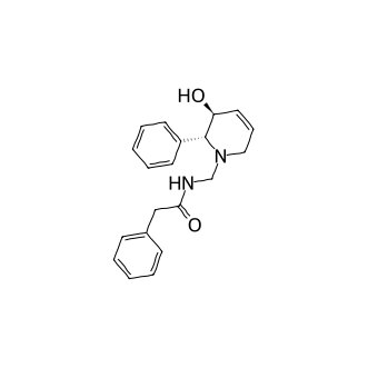 O=C(Cc1ccccc1)NCN1CC=C[C@H](O)[C@H]1c1ccccc1